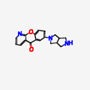 O=c1c2cc(N3CC4CNCC4C3)ccc2oc2ncccc12